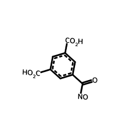 O=NC(=O)c1cc(C(=O)O)cc(C(=O)O)c1